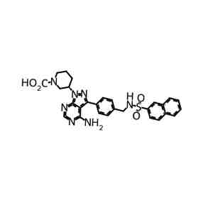 Nc1ncnc2c1c(-c1ccc(CNS(=O)(=O)c3ccc4ccccc4c3)cc1)nn2[C@@H]1CCCN(C(=O)O)C1